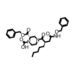 CCCCC[C@H](CC(=O)NOCc1ccccc1)C(=O)N1CCN(C(=O)O)[C@H](C(=O)OCc2ccccc2)C1